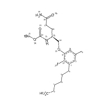 Cc1cc(CCCCCC(=O)O)c(F)c(OC[C@H](CCC(N)=O)NC(=O)OC(C)(C)C)c1